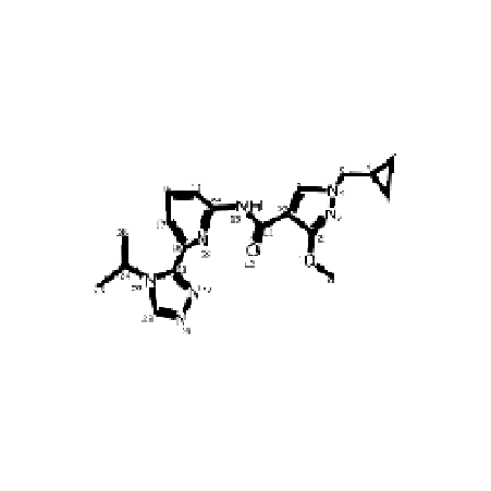 COc1nn(CC2CC2)cc1C(=O)Nc1cccc(-c2nncn2C(C)C)n1